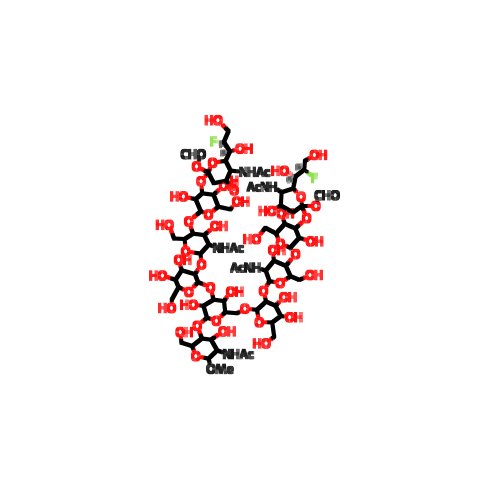 COC1OC(CO)C(OC2OC(COC3OC(CO)C(O)C(O)C3OC3OC(CO)C(OC4OC(CO)C(O)C(OC5(OC=O)CC(O)C(NC(C)=O)C([C@H](O)[C@H](F)CO)O5)C4O)C(O)C3NC(C)=O)C(O)C(OC3OC(CO)C(O)C(O)C3OC3OC(CO)C(OC4OC(CO)C(O)C(OC5(OC=O)CC(O)C(NC(C)=O)C([C@H](O)[C@H](F)CO)O5)C4O)C(O)C3NC(C)=O)C2O)C(O)C1NC(C)=O